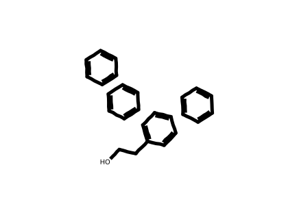 OCCc1ccccc1.c1ccccc1.c1ccccc1.c1ccccc1